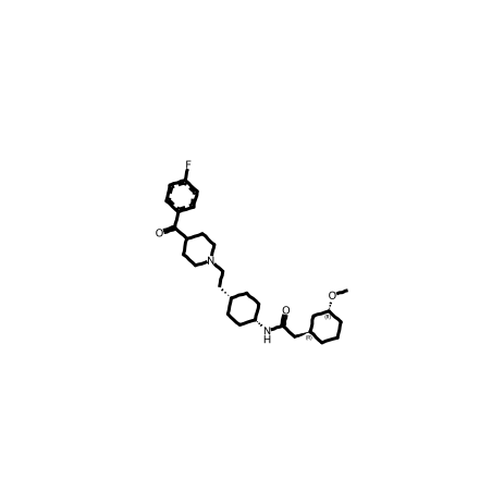 CO[C@@H]1CCC[C@@H](CC(=O)N[C@H]2CC[C@@H](CCN3CCC(C(=O)c4ccc(F)cc4)CC3)CC2)C1